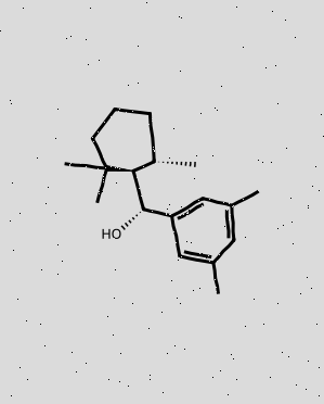 Cc1cc(C)cc([C@H](O)[C@@H]2[C@@H](C)CCCC2(C)C)c1